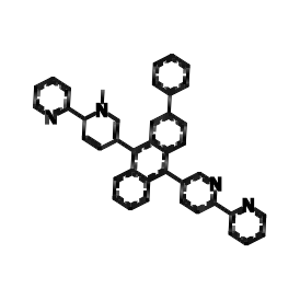 CN1C=C(c2c3ccccc3c(-c3ccc(-c4ccccn4)nc3)c3ccc(-c4ccccc4)cc23)C=CC1c1ccccn1